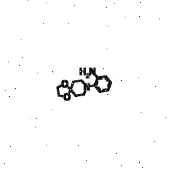 Nc1ccccc1N1CCC2(CC1)OCCO2